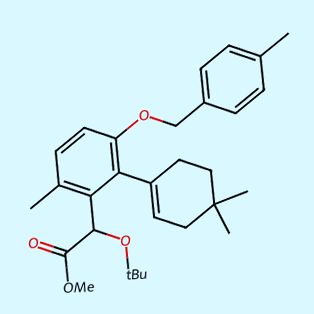 COC(=O)C(OC(C)(C)C)c1c(C)ccc(OCc2ccc(C)cc2)c1C1=CCC(C)(C)CC1